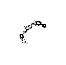 Cc1nc2cc(OC[C@H](O)CN3CCN(Cc4nc5cc(-c6ccccc6)ccc5o4)C[C@@H]3C)ccc2s1